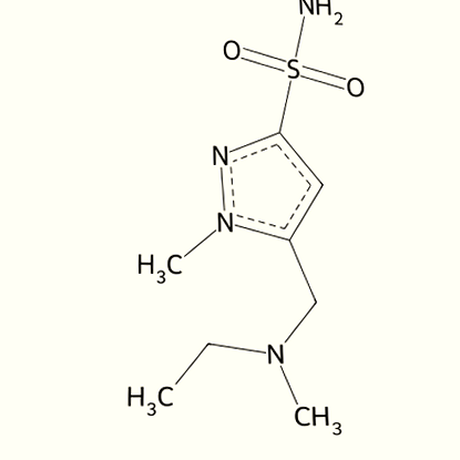 CCN(C)Cc1cc(S(N)(=O)=O)nn1C